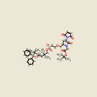 CC(C)(CCO[Si](c1ccccc1)(c1ccccc1)C(C)(C)C)COS(=O)(=O)CCOCC1C[C@@H](N2C(=O)C=CC2=O)C(=O)N1CC(=O)OC(C)(C)C